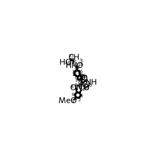 COc1ccc2c(c1)C(=O)N(C[C@@]1(c3cc4ccc(C(=O)NC[C@@H](C)O)cc4o3)NOCNC1=O)C2